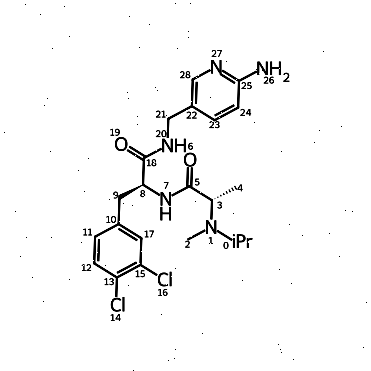 CC(C)N(C)[C@@H](C)C(=O)N[C@@H](Cc1ccc(Cl)c(Cl)c1)C(=O)NCc1ccc(N)nc1